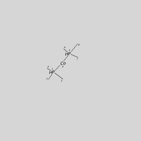 C[PH](C)(C)[Co][PH](C)(C)C